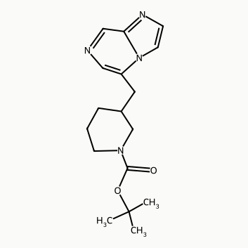 CC(C)(C)OC(=O)N1CCCC(Cc2cncc3nccn23)C1